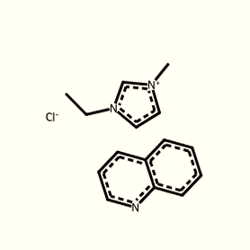 CCn1cc[n+](C)c1.[Cl-].c1ccc2ncccc2c1